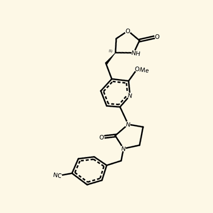 COc1nc(N2CCN(Cc3ccc(C#N)cc3)C2=O)ccc1C[C@H]1COC(=O)N1